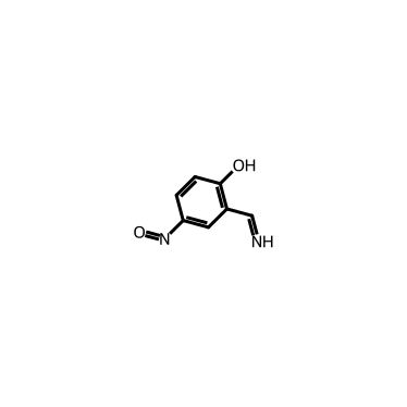 N=Cc1cc(N=O)ccc1O